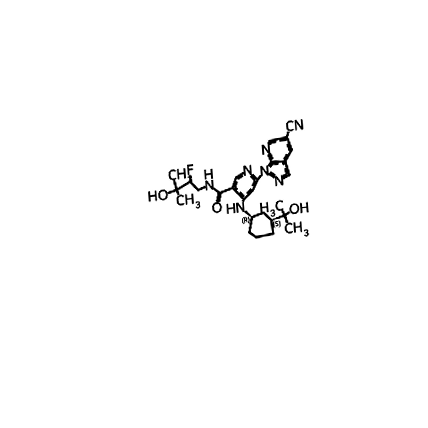 CC(C)(O)C(F)CNC(=O)c1cnc(-n2ncc3cc(C#N)cnc32)cc1N[C@@H]1CCC[C@H](C(C)(C)O)C1